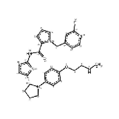 CNCCOc1ccc(N2CCC[C@@H]2c2csc(NC(=O)c3cccn3Cc3ccnc(F)c3)n2)cc1